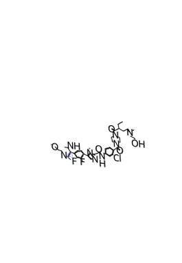 CCC(CCN(C)CCO)C(=O)N1CCN(C(=O)c2ccc(NC(=O)c3ncc(-c4ccc(/C(C(C)=N)=C(\C)N(C)CCOC)c(F)c4F)n3C)cc2Cl)CC1